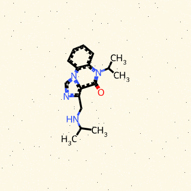 CC(C)NCc1ncn2c1c(=O)n(C(C)C)c1ccccc12